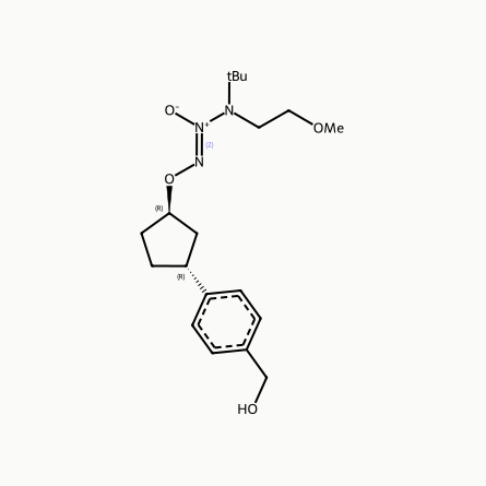 COCCN(/[N+]([O-])=N/O[C@@H]1CC[C@@H](c2ccc(CO)cc2)C1)C(C)(C)C